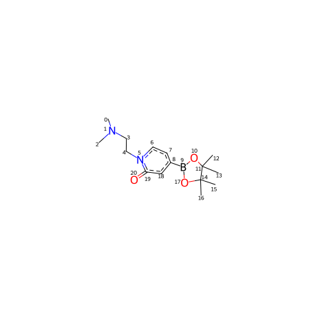 CN(C)CCn1ccc(B2OC(C)(C)C(C)(C)O2)cc1=O